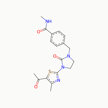 CNC(=O)c1ccc(CN2CCN(c3nc(C)c(C(C)=O)s3)C2=O)cc1